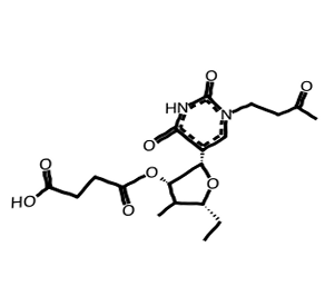 CC[C@H]1O[C@@H](c2cn(CCC(C)=O)c(=O)[nH]c2=O)[C@@H](OC(=O)CCC(=O)O)C1C